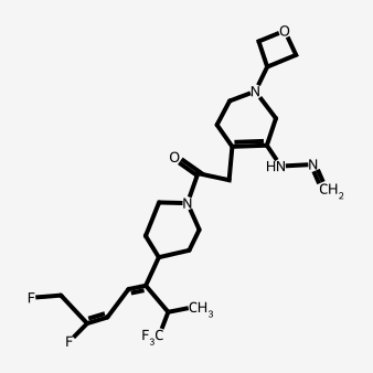 C=NNC1=C(CC(=O)N2CCC(/C(=C/C=C(/F)CF)C(C)C(F)(F)F)CC2)CCN(C2COC2)C1